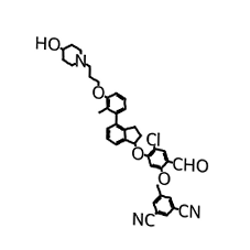 Cc1c(OCCCN2CCC(O)CC2)cccc1-c1cccc2c1CCC2Oc1cc(OCc2cc(C#N)cc(C#N)c2)c(C=O)cc1Cl